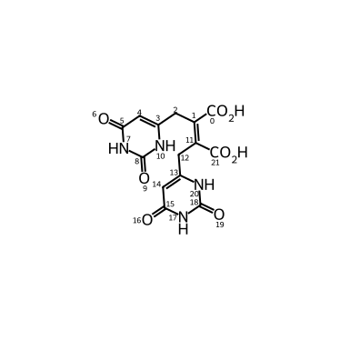 O=C(O)C(Cc1cc(=O)[nH]c(=O)[nH]1)=C(Cc1cc(=O)[nH]c(=O)[nH]1)C(=O)O